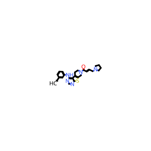 C#Cc1cccc(Nc2ncnc3sc4c(c23)CCN(C(=O)C=CCN2CCCC2)C4)c1